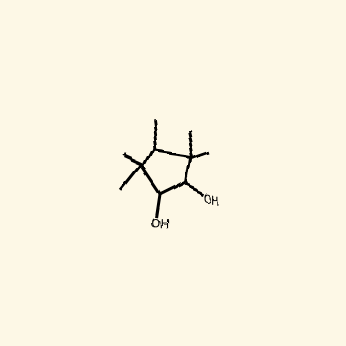 CC1C(C)(C)C(O)C(O)C1(C)C